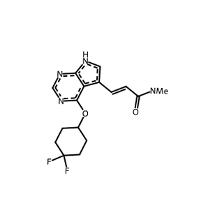 CNC(=O)/C=C/c1c[nH]c2ncnc(OC3CCC(F)(F)CC3)c12